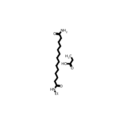 CCC(=O)O.CCNC(=O)CCCCCCCCCCCCC(N)=O